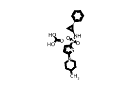 CC1CCN(c2ccc(S(=O)(=O)N[C@H]3C[C@@H]3c3ccccc3)s2)CC1.O=C(O)O